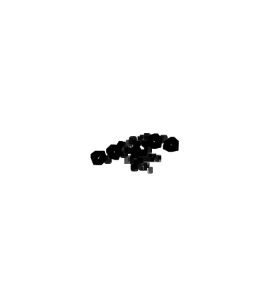 CCCN(Cc1ccc(Oc2ccccc2)cc1)C(=O)C1C(NS(=O)(=O)C(F)(F)F)C(C(=O)OC)C1C(=O)N(CCC)Cc1ccc(Oc2ccccc2)cc1